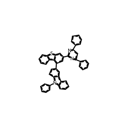 c1ccc(-c2cc(-c3ccccc3)nc(-c3cc(-c4ccc5c(c4)c4ccccc4n5-c4ccccc4)c4c(c3)sc3ccccc34)n2)cc1